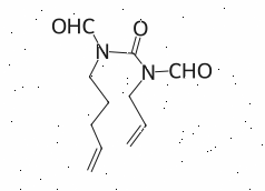 C=CCCCN(C=O)C(=O)N(C=O)CC=C